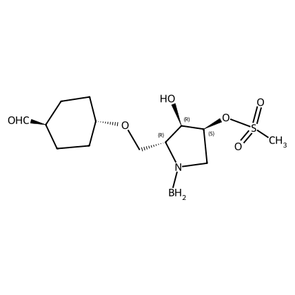 BN1C[C@H](OS(C)(=O)=O)[C@H](O)[C@H]1CO[C@H]1CC[C@H](C=O)CC1